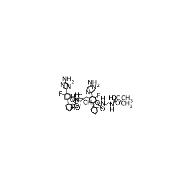 CC(C)(C)OC(=O)NCCNS(=O)(=O)c1ccccc1-c1cc(F)c(-c2cnc(N)cn2)c(CC(C)(C)[C@H](CO)NS(=O)(=O)c2ccccc2-c2ccc(-c3cnc(N)cn3)c(F)c2)c1